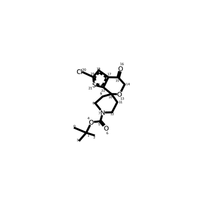 CC(C)(C)OC(=O)N1CCC2(CC1)OCC(=O)c1cc(Cl)sc12